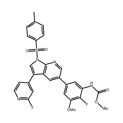 COc1cc(-c2cnc3c(c2)c(-c2ccnc(F)c2)cn3S(=O)(=O)c2ccc(C)cc2)cc(NC(=O)OC(C)(C)C)c1F